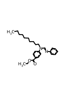 CCCCCCCCCCN(C=Nc1ccccc1)c1ccc(C(=O)OCC)cc1